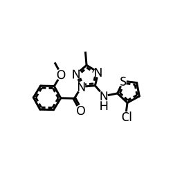 COc1ccccc1C(=O)n1nc(C)nc1Nc1sccc1Cl